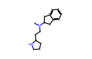 CN(CCC1CCCN1)C1Cc2ccccc2C1